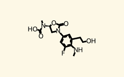 CNc1c(F)cc(N2C[C@@H](N(C)C(=O)O)OC2=O)cc1CCO